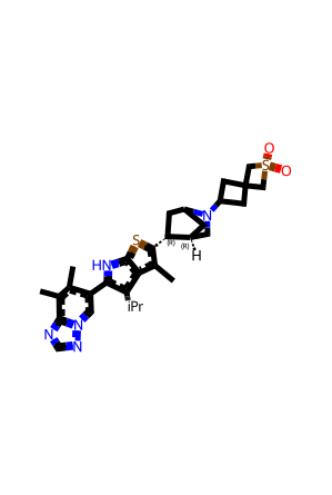 Cc1c(-c2[nH]c3sc([C@@H]4CC5C[C@H]4CN5C4CC5(C4)CS(=O)(=O)C5)c(C)c3c2C(C)C)cn2ncnc2c1C